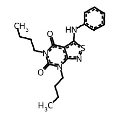 CCCCn1c(=O)c2c(Nc3ccccc3)snc2n(CCCC)c1=O